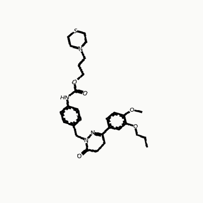 CCCOc1cc(C2=NN(Cc3ccc(NC(=O)OCCCN4CCSCC4)cc3)C(=O)CC2)ccc1OC